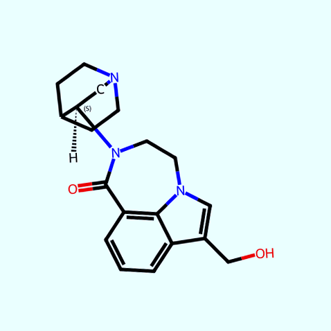 O=C1c2cccc3c(CO)cn(c23)CCN1[C@@H]1CN2CCC1CC2